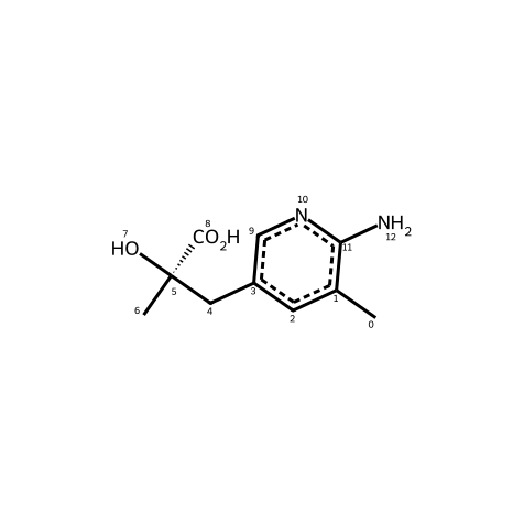 Cc1cc(C[C@@](C)(O)C(=O)O)cnc1N